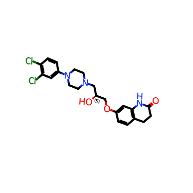 O=C1CCc2ccc(OC[C@@H](O)CN3CCN(c4ccc(Cl)c(Cl)c4)CC3)cc2N1